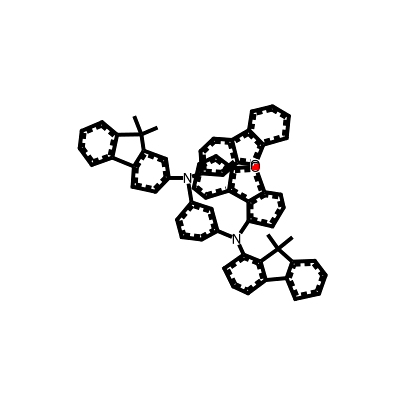 CC1(C)c2ccccc2-c2ccc(N(c3cccc(N(c4cccc5c4C(C)(C)c4ccccc4-5)c4cccc5oc6ccccc6c45)c3)c3ccc4c(c3)oc3ccccc34)cc21